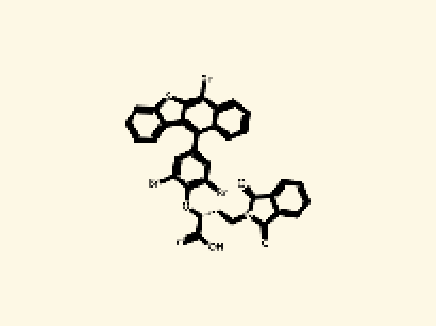 O=C(O)[C@@H](CCN1C(=O)c2ccccc2C1=O)Oc1c(Br)cc(-c2c3ccccc3c(Br)c3sc4ccccc4c23)cc1Br